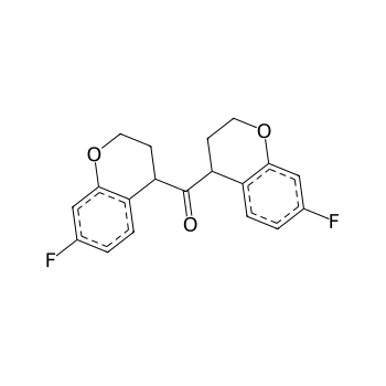 O=C(C1CCOc2cc(F)ccc21)C1CCOc2cc(F)ccc21